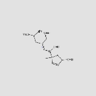 CCCC(C/C(=C/N(C=O)C1(C)C=CC(C=O)C1)CNC)OC